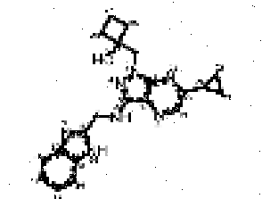 OC1(Cn2nc(NCc3nc4ccccc4[nH]3)c3ncc(C4CC4)nc32)CCC1